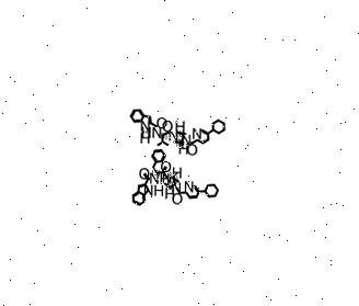 CC(C)[C@H](NC(=O)c1cc2ccccc2[nH]1)C(=O)N1C[C@@H]2C[C@H]1CN2C(=O)c1ccc(C2CCCCC2)cn1.O=C(N[C@@H](Cc1ccccc1)C(=O)N1C[C@@H]2C[C@H]1CN2C(=O)c1ccc(C2CCCCC2)cn1)c1cc2ccccc2[nH]1